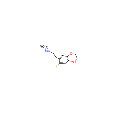 O=C(O)NCCc1cc2c(cc1F)OCCO2